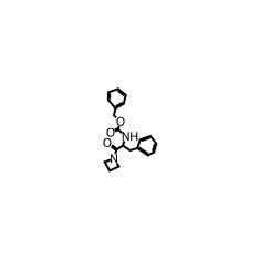 O=C(NC(Cc1ccccc1)C(=O)N1CCC1)OCc1ccccc1